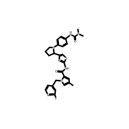 Cc1cc(C(=O)Nc2nc(C3CCCN3c3ccc(NC(=O)N(C)C)cc3)cs2)n(Cc2ccnc(F)c2)c1